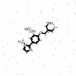 Cl.Cl.Cn1ccnc1-c1ccc(OC/C(=C/F)CN)cc1